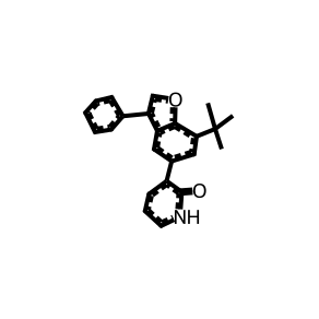 CC(C)(C)c1cc(-c2ccc[nH]c2=O)cc2c(-c3ccccc3)coc12